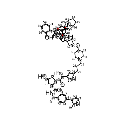 Cc1ncsc1-c1ccc([C@H](C)NC(=O)[C@@H]2C[C@@H](O)CN2C(=O)[C@@H](c2cc(CCCN3CCC(O[C@H]4C[C@H](Oc5cc(N6C7CCC6CN(c6cc(-c8ccccc8O)nnc6N)C7)ccn5)C4)CC3)no2)C(C)C)cc1